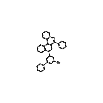 Brc1cc(-c2ccccc2)cc(-c2cc3c(-c4ccccc4)nc4ccccc4c3c3ccccc23)c1